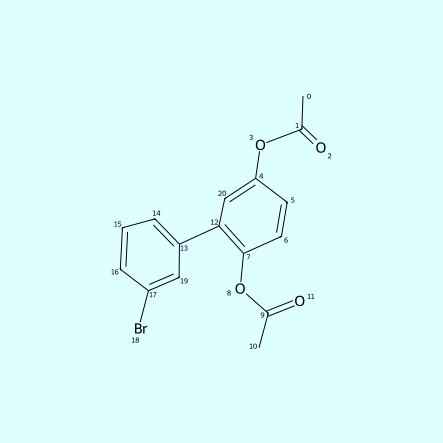 CC(=O)Oc1ccc(OC(C)=O)c(-c2cccc(Br)c2)c1